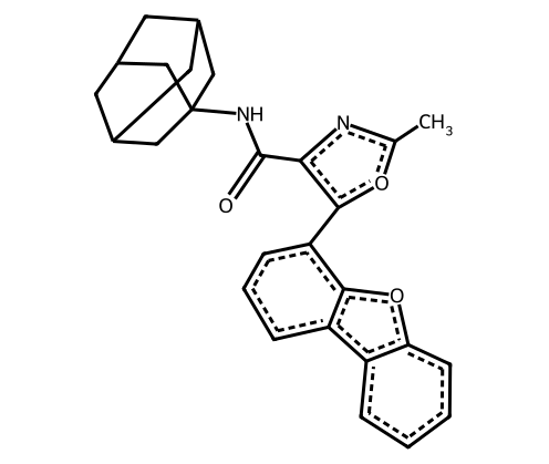 Cc1nc(C(=O)NC23CC4CC(CC(C4)C2)C3)c(-c2cccc3c2oc2ccccc23)o1